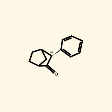 O=C1C2CCC(C2)[C@@H]1c1ccccc1